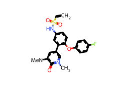 C=CS(=O)(=O)Nc1ccc(Oc2ccc(F)cc2)c(-c2cc(NC)c(=O)n(C)c2)c1